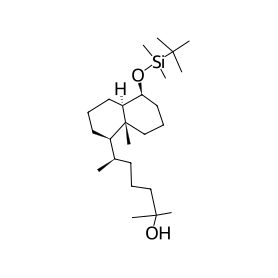 C[C@H](CCCC(C)(C)O)[C@H]1CCC[C@H]2[C@@H](O[Si](C)(C)C(C)(C)C)CCC[C@]12C